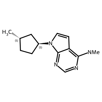 CNc1ncnc2c1ccn2[C@H]1CC[C@H](C)C1